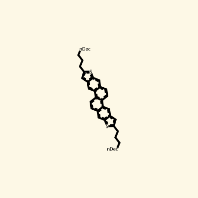 CCCCCCCCCCCCCc1cc2cc3c(ccc4c5cc6cc(CCCCCCCCCCCCC)sc6cc5ccc34)cc2s1